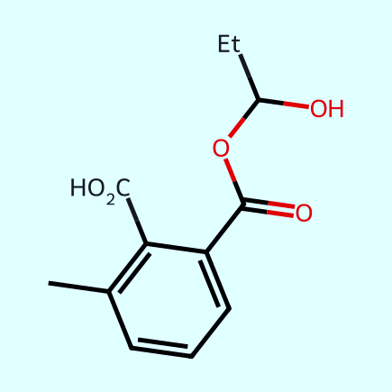 CCC(O)OC(=O)c1cccc(C)c1C(=O)O